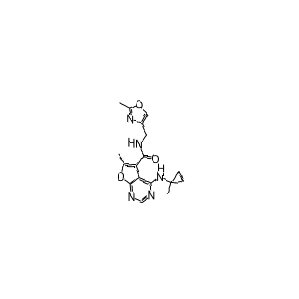 Cc1nc(CNC(=O)c2c(C)oc3ncnc(NC4(C)CC4)c23)co1